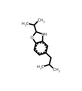 CC(C)Cc1ccc2c(c1)NC(C(C)C)O2